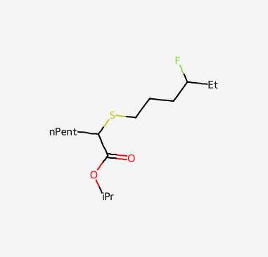 CCCCCC(SCCCC(F)CC)C(=O)OC(C)C